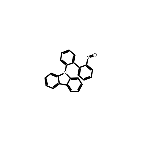 O=Nc1ccccc1-c1ccccc1-n1c2ccccc2c2ccccc21